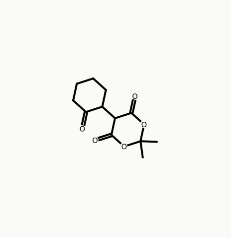 CC1(C)OC(=O)C(C2CCCCC2=O)C(=O)O1